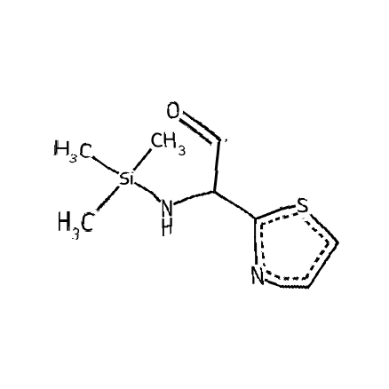 C[Si](C)(C)NC([C]=O)c1nccs1